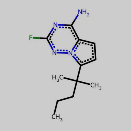 CCCC(C)(C)c1ccc2c(N)nc(F)nn12